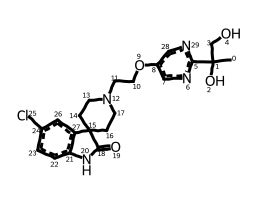 CC(O)(CO)c1ncc(OCCN2CCC3(CC2)C(=O)Nc2ccc(Cl)cc23)cn1